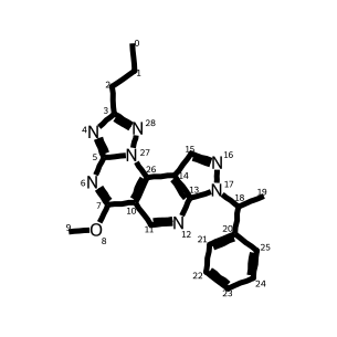 CCCc1nc2nc(OC)c3cnc4c(cnn4C(C)c4ccccc4)c3n2n1